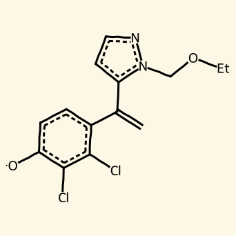 C=C(c1ccc([O])c(Cl)c1Cl)c1ccnn1COCC